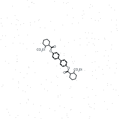 CCOC(=O)C1CCCCC1C(=O)Oc1ccc(-c2ccc(OC(=O)C3CCCCC3C(=O)OCC)cc2)cc1